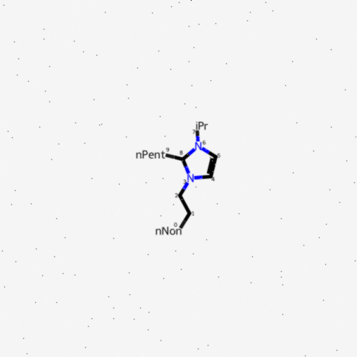 CCCCCCCCCCCN1C=CN(C(C)C)C1CCCCC